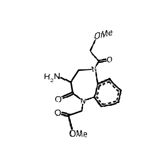 COCC(=O)N1CC(N)C(=O)N(CC(=O)OC)c2ccccc21